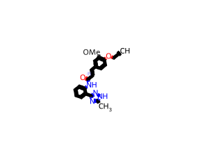 C#CCOc1ccc(/C=C/C(=O)Nc2ccccc2-c2n[nH]c(C)n2)cc1OC